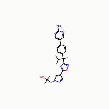 CC(C)C(C)(c1ccc(-c2cnc(N)nc2)cc1)c1noc(-c2cnn(CC(C)(C)O)c2)n1